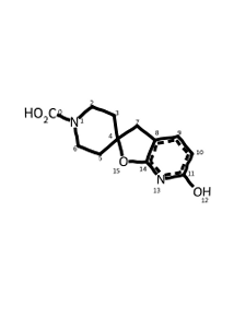 O=C(O)N1CCC2(CC1)Cc1ccc(O)nc1O2